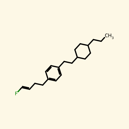 CCCC1CCC(CCc2ccc(CC/C=C/F)cc2)CC1